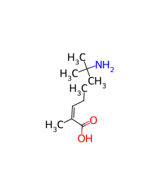 CC(C)(C)N.CCC=C(C)C(=O)O